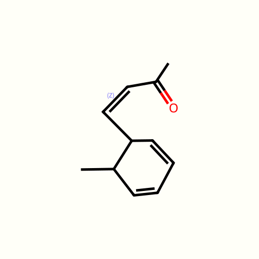 CC(=O)/C=C\C1C=CC=CC1C